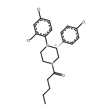 CCCCC(=O)N1CCN(c2ccc(Cl)cc2Cl)[C@H](c2ccc(Cl)cc2)C1